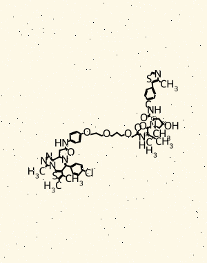 Cc1ncsc1-c1ccc(CNC(=O)[C@@H]2C[C@@H](O)CN2C(=O)[C@@H](NC(=O)COCCCOCCCOc2ccc(NC(=O)CC3N=C(c4ccc(Cl)cc4)c4c(sc(C)c4C)-n4c(C)nnc43)cc2)C(C)(C)C)cc1